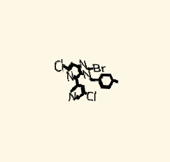 CC1CCC(Cn2c(Br)nc3cc(Cl)nc(-c4cncc(Cl)c4)c32)CC1